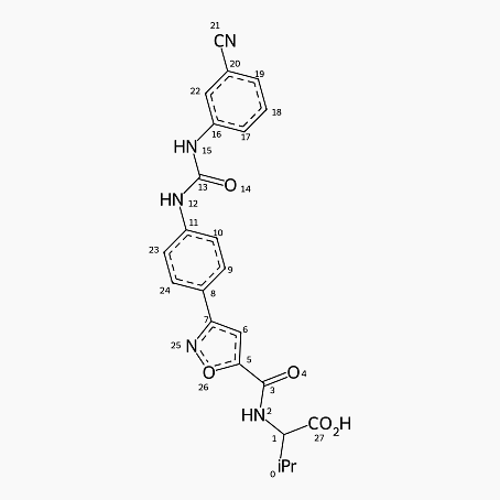 CC(C)C(NC(=O)c1cc(-c2ccc(NC(=O)Nc3cccc(C#N)c3)cc2)no1)C(=O)O